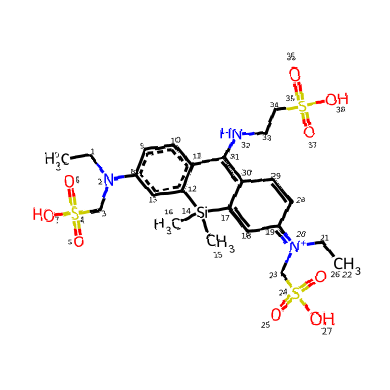 CCN(CS(=O)(=O)O)c1ccc2c(c1)[Si](C)(C)C1=C/C(=[N+](/CC)CS(=O)(=O)O)C=CC1=C2NCCS(=O)(=O)O